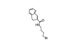 O=C(NCCCCBr)C1=Cc2ccccc2CC1